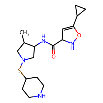 CC1CN(SC2CCNCC2)CC1NC(=O)C1C=C(C2CC2)ON1